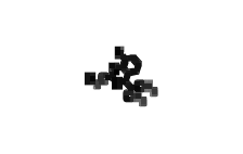 Cc1nc(C(C)C)c2cccc(F)c2n1